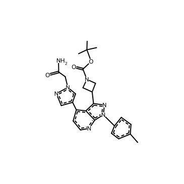 Cc1ccc(-n2nc(C3CN(C(=O)OC(C)(C)C)C3)c3c(-c4cnn(CC(N)=O)c4)ccnc32)cc1